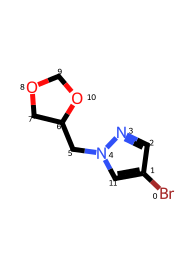 Brc1cnn(CC2COCO2)c1